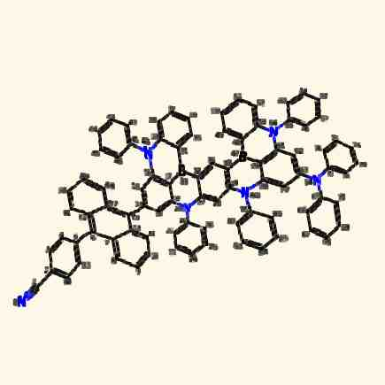 N#Cc1ccc(-c2c3ccccc3c(-c3cc4c5c(c3)N(c3ccccc3)c3cc6c(cc3B5c3ccccc3N4c3ccccc3)B3c4ccccc4N(c4ccccc4)c4cc(N(c5ccccc5)c5ccccc5)cc(c43)N6c3ccccc3)c3ccccc23)cc1